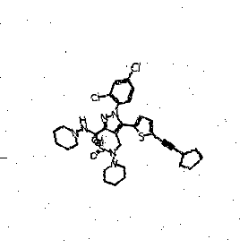 O=C(NN1CCCCC1)c1nn(-c2ccc(Cl)cc2Cl)c(-c2ccc(C#CC3CCCC3)s2)c1CN(N1CCCCC1)[SH](=O)=O